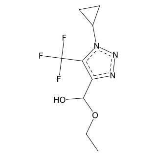 CCOC(O)c1nnn(C2CC2)c1C(F)(F)F